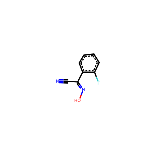 N#C/C(=N\O)c1ccccc1F